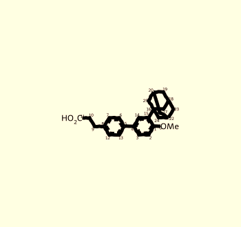 COc1ccc(-c2ccc(CCC(=O)O)cc2)cc1C12CC3CC(CC(C3)C1)C2